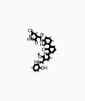 COc1nc(-c2cccc(-c3cccc(NC(=O)c4cc(Cl)n[nH]c4=O)c3C)c2Cl)ccc1CN[C@@H]1CCCC[C@@H]1O